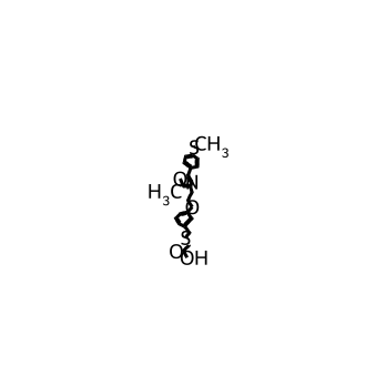 CSc1ccc(-c2nc(CCOc3cccc(CSCC(=O)O)c3)c(C)o2)cc1